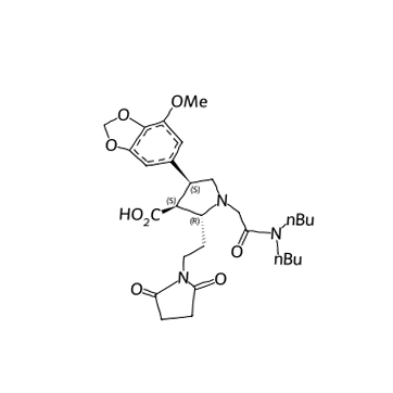 CCCCN(CCCC)C(=O)CN1C[C@H](c2cc(OC)c3c(c2)OCO3)[C@H](C(=O)O)[C@H]1CCN1C(=O)CCC1=O